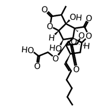 CCCC/C=C/[C@@H]1CC2OC(=O)[C@@]34O[C@@H]5OC(=O)[C@H](OCC(=O)O)C51[C@@]23[C@@H](O)[C@@H]1OC(=O)C(C)[C@@]14O